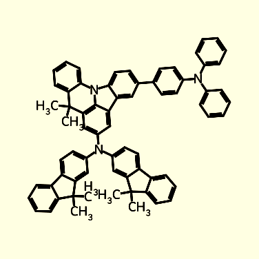 CC1(C)c2ccccc2-c2ccc(N(c3ccc4c(c3)C(C)(C)c3ccccc3-4)c3cc4c5c(c3)c3cc(-c6ccc(N(c7ccccc7)c7ccccc7)cc6)ccc3n5-c3ccccc3C4(C)C)cc21